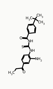 CCC(=O)c1ccc(NC(=S)NC(=O)c2ccc(C(C)(C)C)cc2)c(N)c1